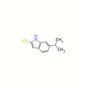 CC(C)c1ccc2cc(S)[nH]c2c1